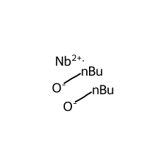 CCCC[O-].CCCC[O-].[Nb+2]